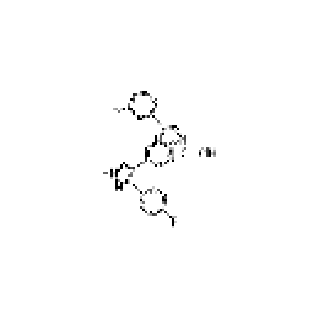 Cl.Cl.Fc1ccc(-c2n[nH]cc2-c2ccc3ncc(-c4cccc(F)c4)n3c2)cc1